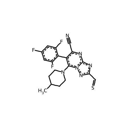 CC1CCN(c2c(-c3c(F)cc(F)cc3F)c(C#N)nc3nc(C=S)nn23)CC1